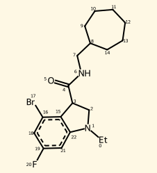 CCN1CC(C(=O)NCC2CCCCCC2)c2c(Br)cc(F)cc21